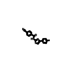 Cc1ccc(-c2csc(NC(=O)c3ccc(C#N)cc3)n2)cc1